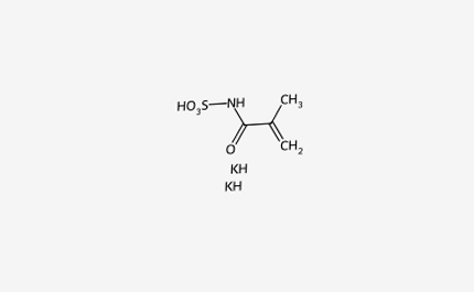 C=C(C)C(=O)NS(=O)(=O)O.[KH].[KH]